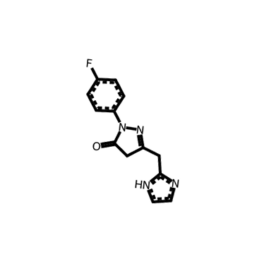 O=C1CC(Cc2ncc[nH]2)=NN1c1ccc(F)cc1